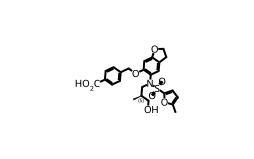 Cc1ccc(S(=O)(=O)N(C[C@H](C)CO)c2cc3c(cc2OCc2ccc(C(=O)O)cc2)OCC3)o1